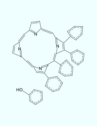 C1=CC2=NC1=CC1=NC(=C(c3ccccc3)C3=NC(=CC4=NC(=C2)C=C4)C=C3c2ccccc2)C(c2ccccc2)=C1c1ccccc1.Oc1ccccc1